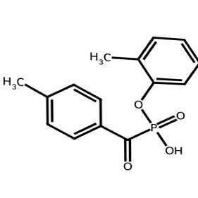 Cc1ccc(C(=O)P(=O)(O)Oc2ccccc2C)cc1